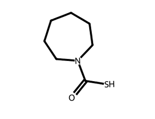 O=C(S)N1CCCCCC1